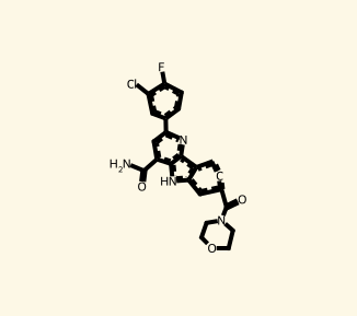 NC(=O)c1cc(-c2ccc(F)c(Cl)c2)nc2c1[nH]c1cc(C(=O)N3CCOCC3)ccc12